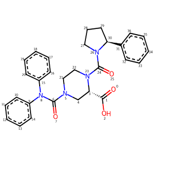 O=C(O)[C@@H]1CN(C(=O)N(c2ccccc2)c2ccccc2)CCN1C(=O)N1CCC[C@H]1c1ccccc1